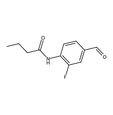 CCCC(=O)Nc1ccc(C=O)cc1F